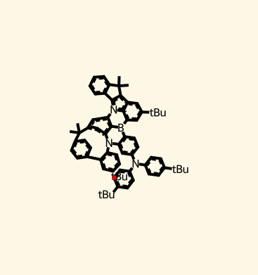 CC(C)(C)c1ccc(N(c2ccc(C(C)(C)C)cc2)c2ccc3c(c2)N2c4ccc(C(C)(C)C)cc4-c4ccc(cc4)C(C)(C)c4cc2c2c(c4)-n4c5c(c6cc(C(C)(C)C)cc(c64)B32)C(C)(C)c2ccccc2-5)cc1